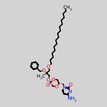 CCCCCCCCCCCCCCCCCCOC[C@](C)(COP1(=O)CO[C@@H](Cn2ccc(N)nc2=O)CO1)OCc1ccccc1